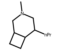 CCCC1CN(C)CC2CCC12